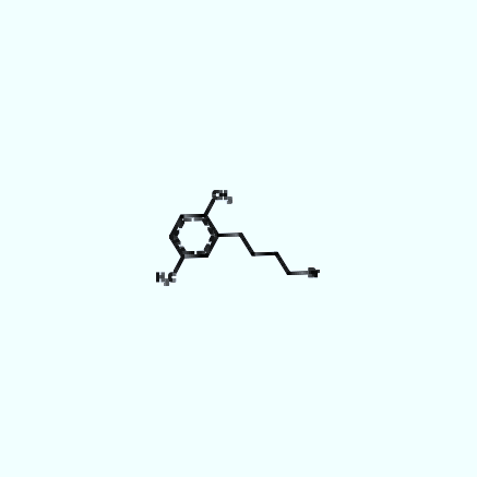 Cc1ccc(C)c(CCCCBr)c1